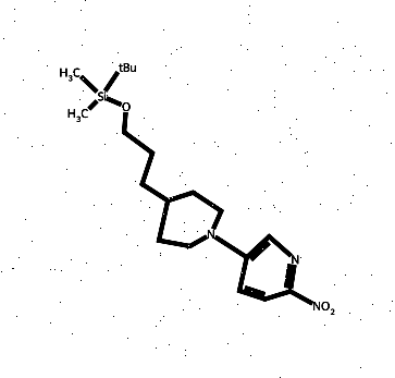 CC(C)(C)[Si](C)(C)OCCCC1CCN(c2ccc([N+](=O)[O-])nc2)CC1